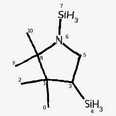 CC1(C)C([SiH3])CN([SiH3])C1(C)C